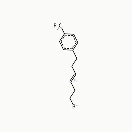 FC(F)(F)c1ccc(CC/C=C/CCBr)cc1